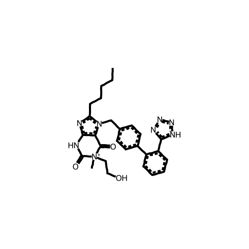 CCCCCc1nc2c(n1Cc1ccc(-c3ccccc3-c3nnn[nH]3)cc1)C(=O)[N+](C)(CCO)C(=O)N2